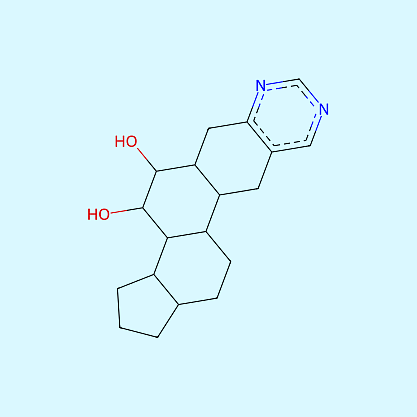 OC1C(O)C2C3CCCC3CCC2C2Cc3cncnc3CC12